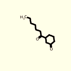 CCCCCCC(=O)C1CCCC(=O)C1